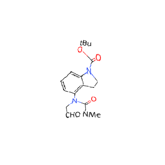 CNC(=O)N(CC=O)c1cccc2c1CCN2C(=O)OC(C)(C)C